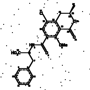 COc1c(C(=O)NC(Cc2ccccc2)C(=O)O)cc(Cl)c2c1C(=O)O[C@H](C)C2